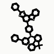 CC1(C)c2ccccc2-c2c(N(c3ccc(-c4cc5oc(-c6ccccc6)nc5c5c4oc4ccccc45)cc3)c3cccc(-c4ccccc4)c3)cccc21